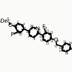 CCCCCCCCCCOc1ccc(-c2ccc(-c3ccc(OCc4ccccc4)cc3F)nc2)cc1F